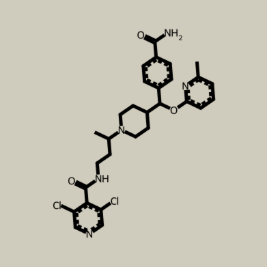 Cc1cccc(OC(c2ccc(C(N)=O)cc2)C2CCN(C(C)CCNC(=O)c3c(Cl)cncc3Cl)CC2)n1